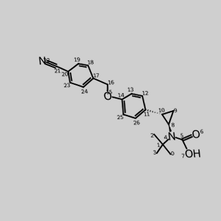 CC(C)(C)N(C(=O)O)[C@@H]1C[C@H]1c1ccc(OCc2ccc(C#N)cc2)cc1